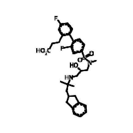 CN(C[C@H](O)CNC(C)(C)CC1Cc2ccccc2C1)S(=O)(=O)c1ccc(-c2ccc(F)cc2CCC(=O)O)c(F)c1